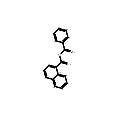 O=C(OC(=O)c1cccc2ccccc12)c1ccccc1